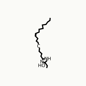 CCCCCCCC/C=C\CCCCCCCCC1=NC(O)(CC)CN1